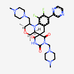 C[C@@H]1O[C@H](C)C(CN2CCN(C)CC2)N2c3c(cc(-c4cnccn4)c(F)c3F)CC3(C(=O)NC(=O)N(CN4CCN(C)CC4)C3=O)[C@@H]12